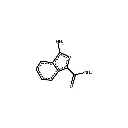 NC(=O)c1oc(N)c2ccccc12